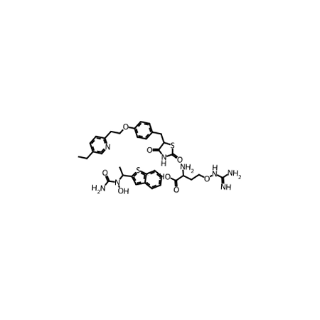 CC(c1cc2ccccc2s1)N(O)C(N)=O.CCc1ccc(CCOc2ccc(CC3SC(=O)NC3=O)cc2)nc1.N=C(N)NOCCC(N)C(=O)O